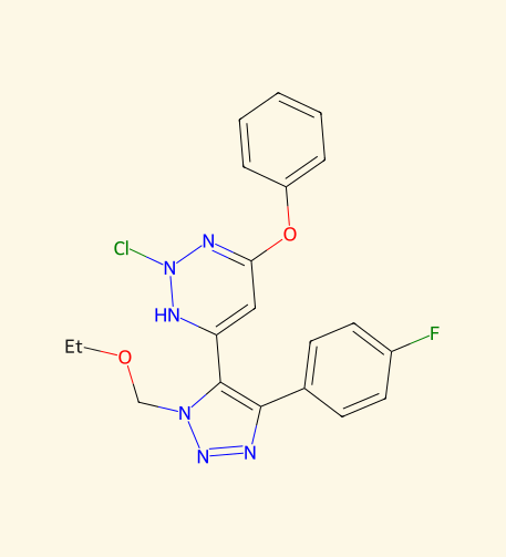 CCOCn1nnc(-c2ccc(F)cc2)c1C1=CC(Oc2ccccc2)=NN(Cl)N1